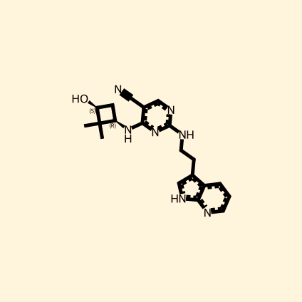 CC1(C)[C@@H](O)C[C@H]1Nc1nc(NCCc2c[nH]c3ncccc23)ncc1C#N